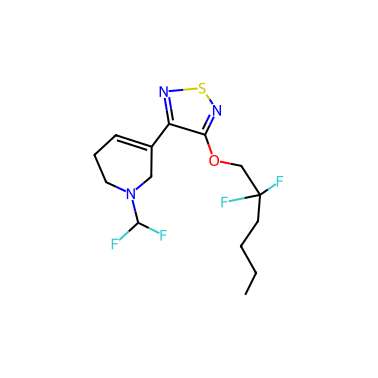 CCCCC(F)(F)COc1nsnc1C1=CCCN(C(F)F)C1